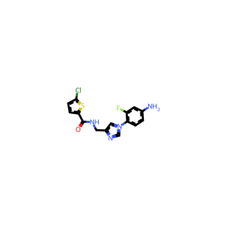 Nc1ccc(-n2cnc(CNC(=O)c3ccc(Cl)s3)c2)c(F)c1